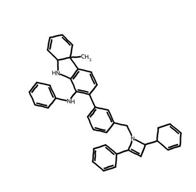 CC12C=CC=CC1Nc1c2ccc(-c2cccc(CN3C(c4ccccc4)=CC3C3C=CC=CC3)c2)c1Nc1ccccc1